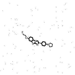 FCCOc1ccc2c(c1)sc1nc(-c3ccc(N4CCCC4)cc3)cn12